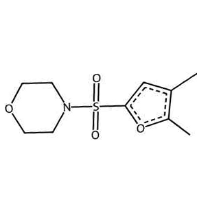 Cc1cc(S(=O)(=O)N2CCOCC2)oc1C